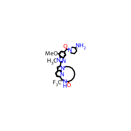 COc1cc(C(=O)N2CCC[C@@H](N)C2)cc2nc(-c3cc4ccc5nc4n3CCCCCCCC(=O)N[C@H]5C(F)(F)F)n(C)c12